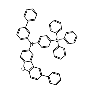 c1ccc(-c2cccc(N(c3ccc([Si](c4ccccc4)(c4ccccc4)c4ccccc4)cc3)c3ccc4oc5ccc(-c6ccccc6)cc5c4c3)c2)cc1